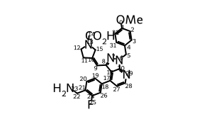 COc1ccc(Cn2nc(/C=C3/CCN(C(=O)O)C3)c3c(-c4ccc(CN)c(F)c4)ccnc32)cc1